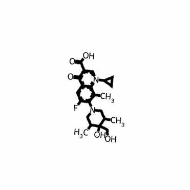 Cc1c(N2CC(C)C(O)(CO)C(C)C2)c(F)cc2c(=O)c(C(=O)O)cn(C3CC3)c12